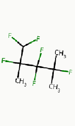 CC(C)(F)C(F)(F)C(C)(F)C(F)F